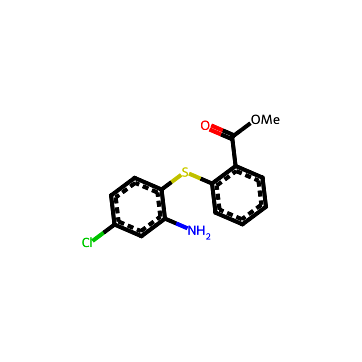 COC(=O)c1ccccc1Sc1ccc(Cl)cc1N